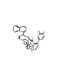 CC1=Cc2c(-c3ccc(C)c(C)c3)ccc(C)c2[CH]1[Zr]([Cl])([Cl])([CH]1C(C(C)C)=Cc2c(-c3cccc4ccccc34)cccc21)[SiH](C)C